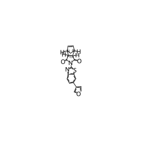 O=C1[C@@H]2[C@H](C(=O)N1c1nc3ccc(-c4ccoc4)cc3s1)[C@@H]1C=C[C@H]2C1